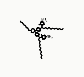 CCCCCCCCCCCCC(c1ccc(C2(c3ccc(C(CCCCCCCCCCCC)c4ccc(N)cc4C)cc3)CCC(CCCCCCCC)CC2)cc1)c1ccc(N)cc1C